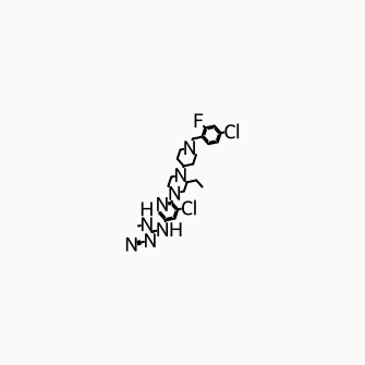 CCC1CN(c2ncc(N/C(=N/C#N)NC)cc2Cl)CCN1C1CCN(Cc2ccc(Cl)cc2F)CC1